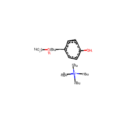 CC(C)(C)c1ccc(O)cc1.CCCC[N+](CCCC)(CCCC)CCCC.O=S(=O)(O)O